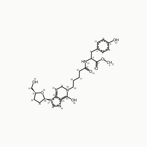 COC(=O)C(Cc1ccc(O)cc1)NC(=O)CCCCN1CN=c2c(ncn2[C@H]2CC[C@@H](CO)O2)=C1O